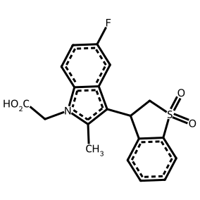 Cc1c(C2CS(=O)(=O)c3ccccc32)c2cc(F)ccc2n1CC(=O)O